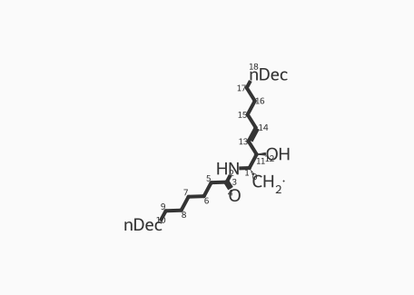 [CH2][C@H](NC(=O)CCCCCCCCCCCCCCC)[C@H](O)/C=C/CCCCCCCCCCCCC